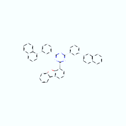 c1cc(-c2ccc3ccccc3c2)cc(-c2nc(-c3cccc(-c4cccc5ccccc45)c3)nc(-c3cccc4c3oc3ccccc34)n2)c1